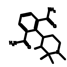 CC1C(c2c(C(N)=O)cccc2C(N)=O)CCN(C)C1(C)C